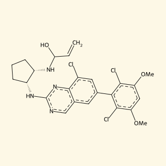 C=CC(O)N[C@H]1CCC[C@H]1Nc1ncc2cc(-c3c(Cl)c(OC)cc(OC)c3Cl)cc(Cl)c2n1